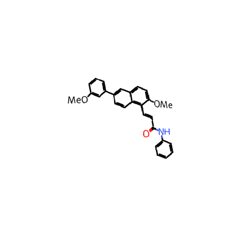 COc1cccc(-c2ccc3c(C=CC(=O)Nc4ccccc4)c(OC)ccc3c2)c1